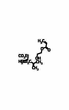 C=C(C)C(=O)OCC.C=CC(=O)OCC.C=CC(=O)OCCO